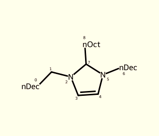 CCCCCCCCCCCN1C=CN(CCCCCCCCCC)C1CCCCCCCC